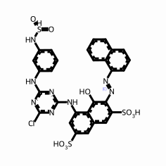 O=[SH](=O)Nc1cccc(Nc2nc(Cl)nc(Nc3cc(S(=O)(=O)O)cc4cc(S(=O)(=O)O)c(/N=N/c5cccc6ccccc56)c(O)c34)n2)c1